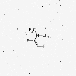 F/C=C(/F)N(C(F)(F)F)C(F)(F)F